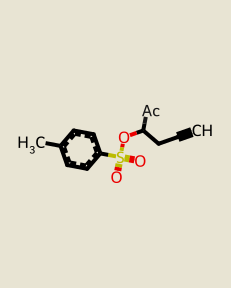 C#CCC(OS(=O)(=O)c1ccc(C)cc1)C(C)=O